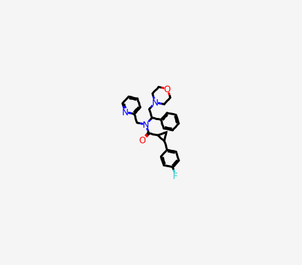 O=C(C1CC1c1ccc(F)cc1)N(Cc1ccccn1)C(CN1CCOCC1)c1ccccc1